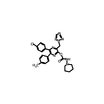 Cc1ccc(-c2nc(OC(=O)NN3CCCCC3)c(Cn3ncnn3)nc2-c2ccc(Cl)cc2)cc1